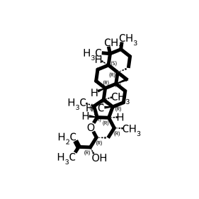 C=C(C)[C@@H](O)[C@H]1C[C@@H](C)[C@H]2[C@H](O1)[C@H](C)[C@@]1(C)[C@@H]3CC[C@H]4C(C)(C)C(C)CC[C@@]45C[C@@]35CC[C@]21C